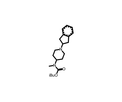 CC(C)COC(=O)N(C)C1CCN(C2Cc3ccccc3C2)CC1